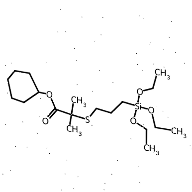 CCO[Si](CCCSC(C)(C)C(=O)OC1CCCCC1)(OCC)OCC